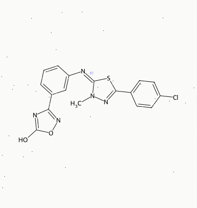 Cn1nc(-c2ccc(Cl)cc2)s/c1=N/c1cccc(-c2noc(O)n2)c1